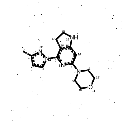 Cc1ccn(-c2nc(N3CCOCC3)cc3c2CCN3)n1